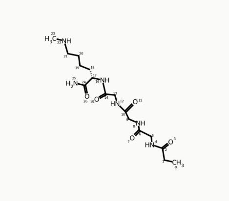 CCC(=O)NCC(=O)NCC(=O)NCC(=O)N[C@@H](CCCCNC)C(N)=O